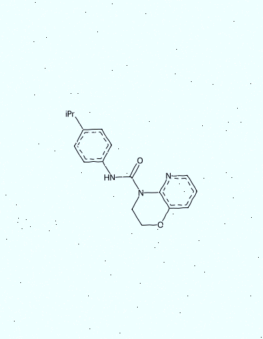 CC(C)c1ccc(NC(=O)N2CCOc3cccnc32)cc1